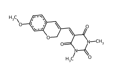 COc1ccc2c(c1)OCC(C=C1C(=O)N(C)C(=O)N(C)C1=O)=C2